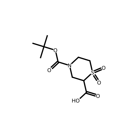 CC(C)(C)OC(=O)N1CCS(=O)(=O)C(C(=O)O)C1